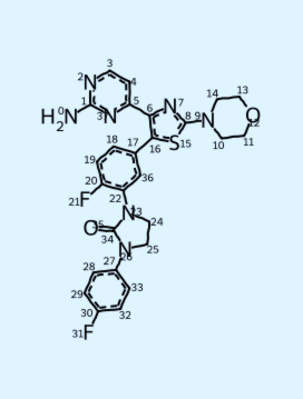 Nc1nccc(-c2nc(N3CCOCC3)sc2-c2ccc(F)c(N3CCN(c4ccc(F)cc4)C3=O)c2)n1